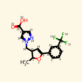 CC1OC(c2cccc(C(F)(F)F)c2)=CC1Cn1cc(C(=O)O)cn1